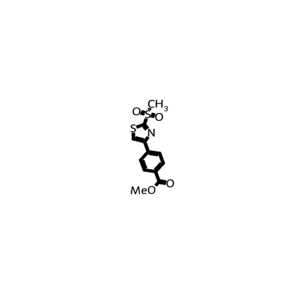 COC(=O)c1ccc(-c2csc(S(C)(=O)=O)n2)cc1